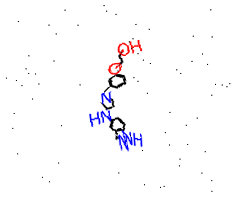 OCCOc1cccc(CN2CCC(Nc3ccc4[nH]ncc4c3)C2)c1